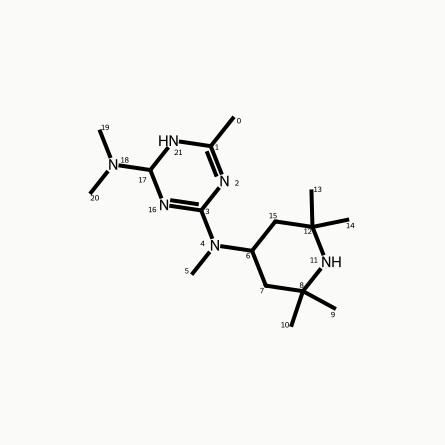 CC1=NC(N(C)C2CC(C)(C)NC(C)(C)C2)=NC(N(C)C)N1